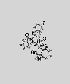 O=C(N[C@@H](Cc1cc(F)ccc1F)CN1C(=O)c2ccccc2C1=O)c1cc2c(s1)CCCn1ncc(Br)c1-2